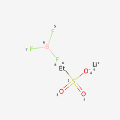 CCS(=O)(=O)[O-].FB(F)F.[Li+]